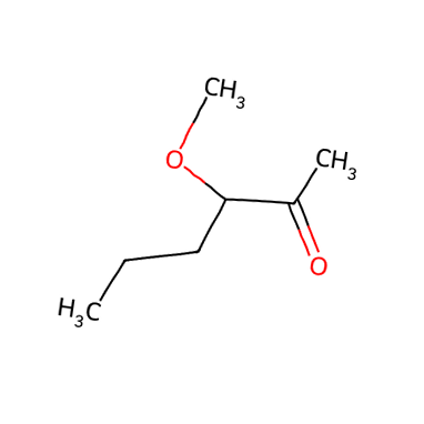 CCCC(OC)C(C)=O